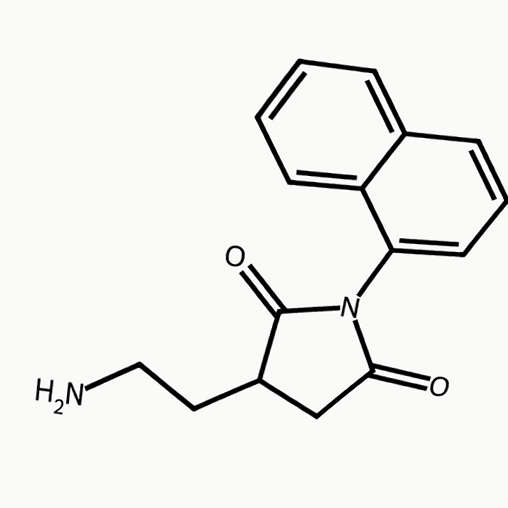 NCCC1CC(=O)N(c2cccc3ccccc23)C1=O